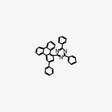 c1ccc(-c2cc(-c3nc(-c4ccccc4)nc(-c4ccccc4)n3)c3c4ccccc4c4ccccc4c3c2)cc1